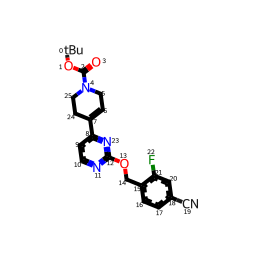 CC(C)(C)OC(=O)N1CC=C(c2ccnc(OCc3ccc(C#N)cc3F)n2)CC1